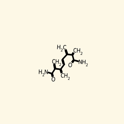 C=C(C=CC(=C)C(=C)C(N)=O)C(=C)C(N)=O